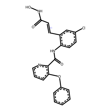 O=C(/C=C/c1cc(Cl)ccc1NC(=O)c1ncccc1Oc1ccccc1)NO